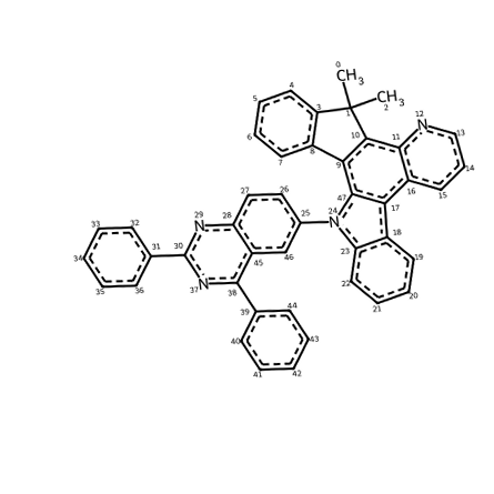 CC1(C)c2ccccc2-c2c1c1ncccc1c1c3ccccc3n(-c3ccc4nc(-c5ccccc5)nc(-c5ccccc5)c4c3)c21